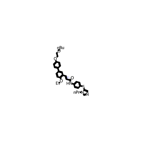 CCCCOCCOc1ccc(-c2ccc(OCC)c(/C=C/C(=O)Nc3ccc(Sc4cncn4CCC)cc3)c2)cc1